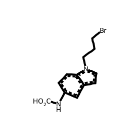 O=C(O)Nc1ccc2c(ccn2CCCBr)c1